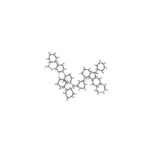 CC1Cc2cc(-c3ccc(N(c4cccc(-c5cccc6c5c5cc7c(cc5n6-c5ccccc5)C=CCC=C7)c4)c4ccccc4-c4ccccc4)cc3)ccc2-c2ccccc21